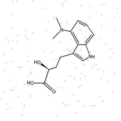 CN(C)c1cccc2[nH]cc(CC[C@H](O)C(=O)O)c12